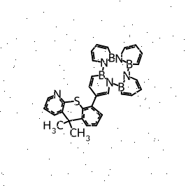 CC1(C)c2cccnc2Sc2c(C3=CN4B5C=CC=CN5B5C=CC=CN5B5C=CC=CN5B4C=C3)cccc21